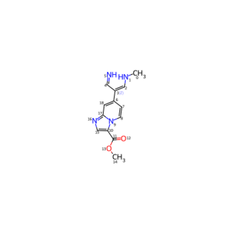 CN/C=C(\C=N)c1ccn2c(C(=O)OC)cnc2c1